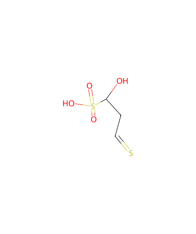 O=S(=O)(O)C(O)CC=S